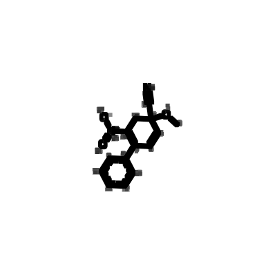 COC1(C#N)C=CC(c2ccccc2)=C([N+](=O)[O-])C1